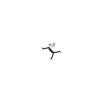 CC=C(C)C.O